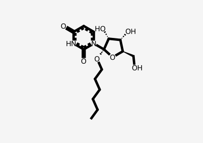 CCCCCCO[C@@]1(n2ccc(=O)[nH]c2=O)O[C@H](CO)[C@@H](O)[C@H]1O